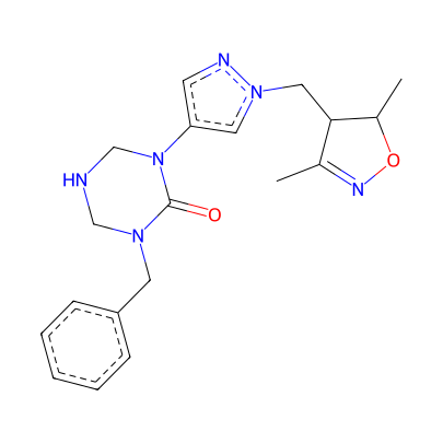 CC1=NOC(C)C1Cn1cc(N2CNCN(Cc3ccccc3)C2=O)cn1